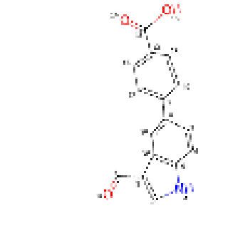 O=Cc1c[nH]c2ccc(-c3ccc(C(=O)O)cc3)cc12